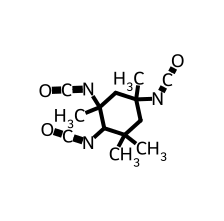 CC1(N=C=O)CC(C)(C)C(N=C=O)C(C)(N=C=O)C1